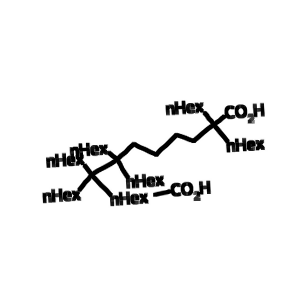 CC(=O)O.CCCCCCC(CCCCCC)(CCCCC(CCCCCC)(CCCCCC)C(CCCCCC)(CCCCCC)CCCCCC)C(=O)O